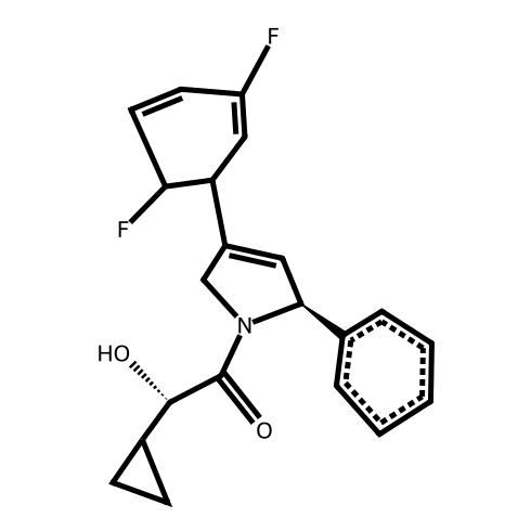 O=C([C@@H](O)C1CC1)N1CC(C2C=C(F)C=CC2F)=C[C@H]1c1ccccc1